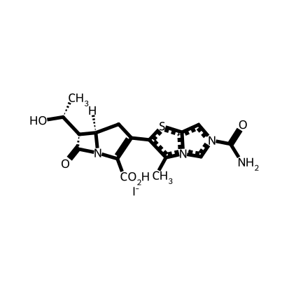 Cc1c(C2=C(C(=O)O)N3C(=O)[C@H]([C@@H](C)O)[C@H]3C2)sc2cn(C(N)=O)c[n+]12.[I-]